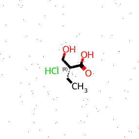 CC[C@H](CO)C(=O)O.Cl